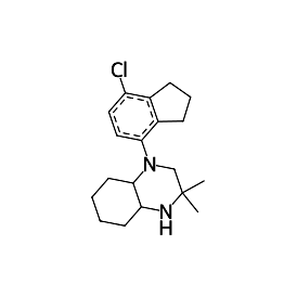 CC1(C)CN(c2ccc(Cl)c3c2CCC3)C2CCCCC2N1